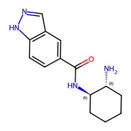 N[C@@H]1CCCC[C@H]1NC(=O)c1ccc2[nH]ncc2c1